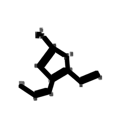 C=Cc1sc(C(C)C)cc1/C=C\C